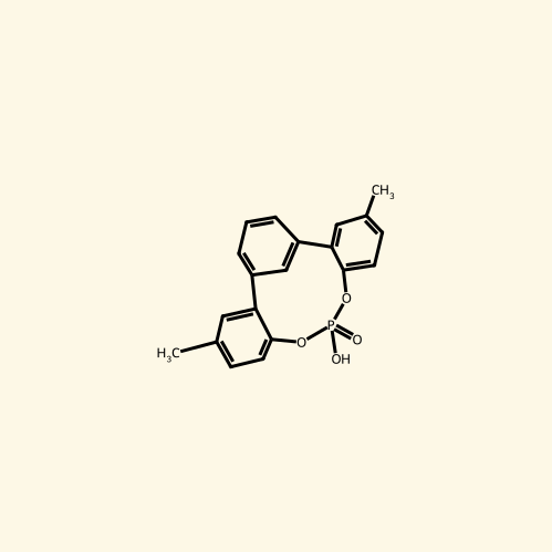 Cc1ccc2c(c1)-c1cccc(c1)-c1cc(C)ccc1OP(=O)(O)O2